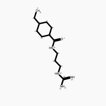 CCC1CCC(C(=O)NCCCNC(=N)N)CC1